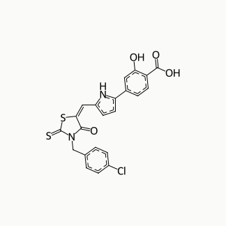 O=C(O)c1ccc(-c2ccc(/C=C3/SC(=S)N(Cc4ccc(Cl)cc4)C3=O)[nH]2)cc1O